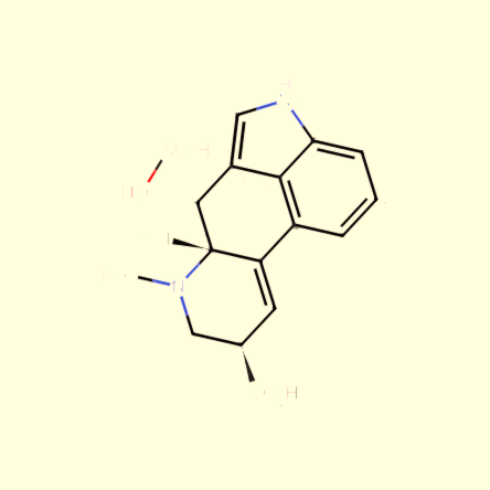 CN1C[C@H](C(=O)O)C=C2c3cccc4[nH]cc(c34)C[C@H]21.O=S(=O)(O)O